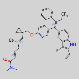 C=Cc1[nH]c2ccc(/C(=C(\CC(F)(F)F)c3ccccc3)c3ccc(OCC4(/C=C(\CC)C/C=C/C(=O)N(C)C)CC4)nc3)cc2c1F